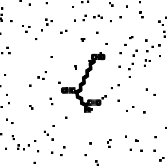 [CH2]CC(C=O)CCCC(C=O)CCCCCCCCCC=O